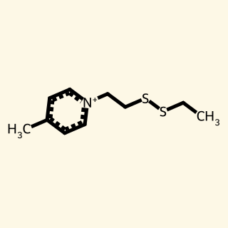 CCSSCC[n+]1ccc(C)cc1